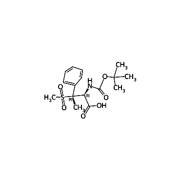 CC(C)(C)OC(=O)N[C@@H](C(=O)O)[C@@](C)(c1ccccc1)S(C)(=O)=O